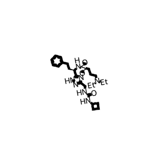 CCN(CC)CCCS(=O)(=O)N[C@H](CCc1ccccc1)c1nc(CNC(=O)NC2CCC2)n[nH]1